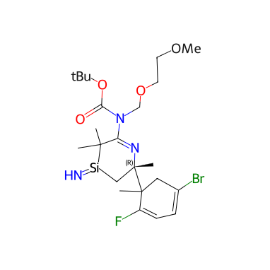 COCCOCN(C(=O)OC(C)(C)C)C1=N[C@](C)(C2(C)CC(Br)=CC=C2F)C[Si](=N)C1(C)C